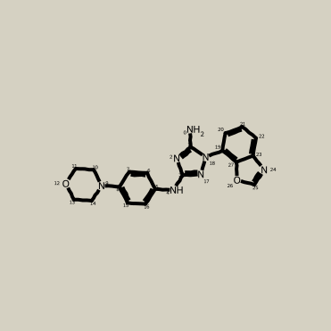 Nc1nc(Nc2ccc(N3CCOCC3)cc2)nn1-c1cccc2ncoc12